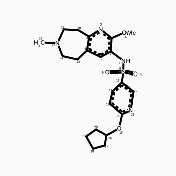 COc1nc2c(cc1NS(=O)(=O)c1ccc(OC3CCCC3)nc1)CCN(C)CC2